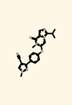 CC(C)c1ncc2c(=O)n(C)c(Oc3ccc(-c4nn(C)cc4C#N)cc3)cn12